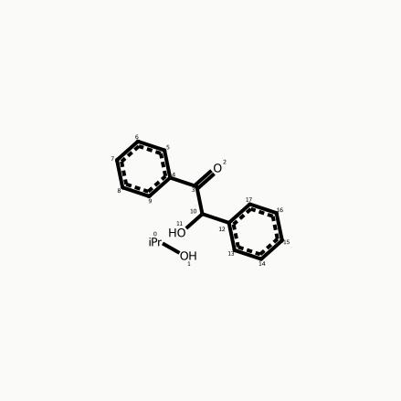 CC(C)O.O=C(c1ccccc1)C(O)c1ccccc1